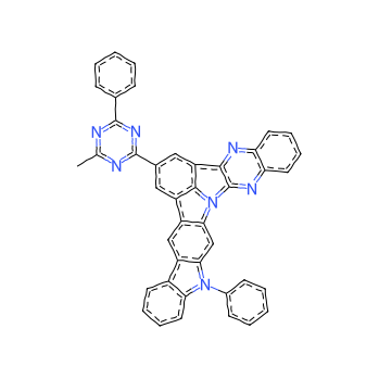 Cc1nc(-c2ccccc2)nc(-c2cc3c4cc5c6ccccc6n(-c6ccccc6)c5cc4n4c5nc6ccccc6nc5c(c2)c34)n1